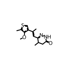 COc1c(C(C)=CC2=NNC(=O)CC2C)csc1C